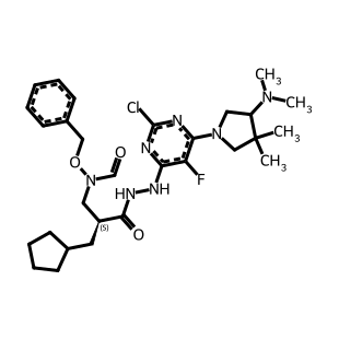 CN(C)C1CN(c2nc(Cl)nc(NNC(=O)[C@@H](CC3CCCC3)CN(C=O)OCc3ccccc3)c2F)CC1(C)C